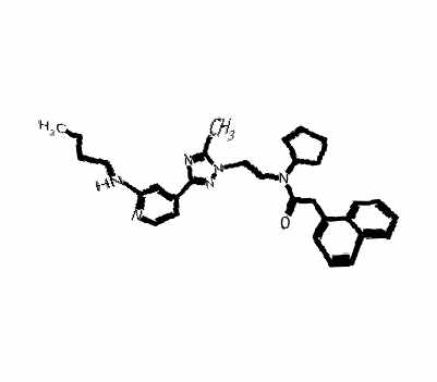 CCCCNc1cc(-c2nc(C)n(CCN(C(=O)Cc3cccc4ccccc34)C3CCCC3)n2)ccn1